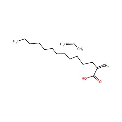 C=C(CCCCCCCCCCCC)C(=O)O.C=CC